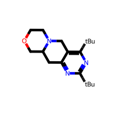 CC(C)(C)c1nc2c(c(C(C)(C)C)n1)CN1CCOCC1C2